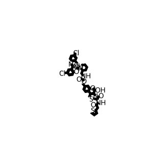 O=C(Cc1cccs1)NC1C(=O)N2C(C(=O)O)=C(c3ccc(COC(=O)NCC4CCCCN4C(=O)Oc4ccc(Cl)cc4C4=Nc5ccc(Cl)cc5CN4)cc3)CSC12